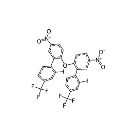 O=[N+]([O-])c1ccc(Oc2ccc([N+](=O)[O-])cc2-c2ccc(C(F)(F)F)cc2I)c(-c2ccc(C(F)(F)F)cc2I)c1